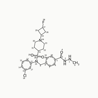 CNNC(=O)c1ccc(CN(c2cccc(Cl)c2)S(=O)(=O)C2CCN(C3CC(F)C3)CC2)cc1